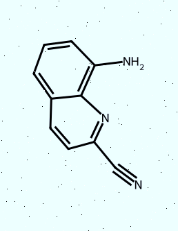 N#Cc1ccc2cccc(N)c2n1